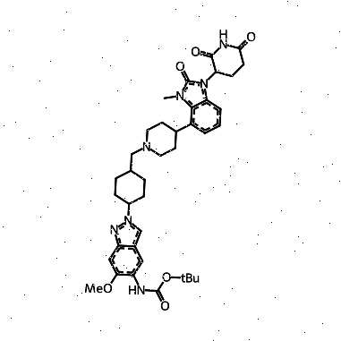 COc1cc2nn(C3CCC(CN4CCC(c5cccc6c5n(C)c(=O)n6C5CCC(=O)NC5=O)CC4)CC3)cc2cc1NC(=O)OC(C)(C)C